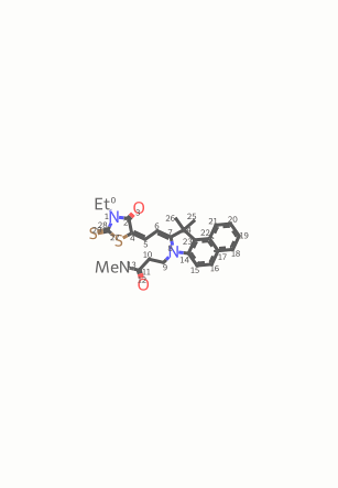 CCN1C(=O)/C(=C\C=C2/N(CCC(=O)NC)c3ccc4ccccc4c3C2(C)C)SC1=S